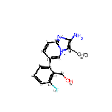 Nc1nc2ccc(-c3cccc(F)c3CO)cn2c1C=O